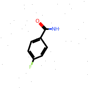 [NH]C(=O)c1ccc(F)cc1